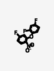 O=[N+]([O-])c1ccc(F)cc1Oc1ccc(F)cc1F